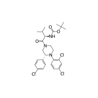 CC(C)[C@@H](NC(=O)OC(C)(C)C)C(=O)N1CCN(c2ccc(Cl)cc2Cl)[C@H](c2ccc(Cl)cc2)C1